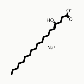 CCCCCCCCCCCCCCC=C(O)CCC(=O)[O-].[Na+]